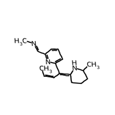 C/C=C\C(=C1/CCCC(C)N1)c1cccc(/C=N/C)n1